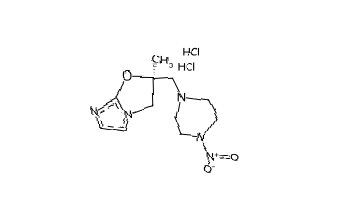 C[C@]1(CN2CCN([N+](=O)[O-])CC2)Cn2ccnc2O1.Cl.Cl